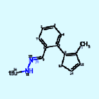 CC1=C(c2ccccc2/C=N/NC(C)(C)C)CC=C1